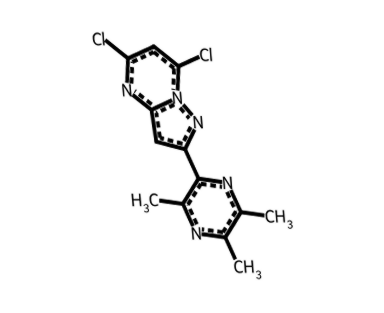 Cc1nc(C)c(-c2cc3nc(Cl)cc(Cl)n3n2)nc1C